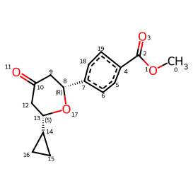 COC(=O)c1ccc([C@H]2CC(=O)C[C@@H](C3CC3)O2)cc1